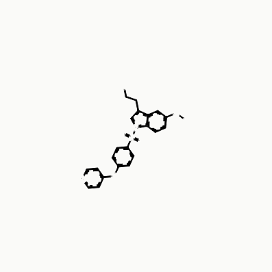 CC(C)Oc1ccc2c(c1)c(CCC(=O)O)cn2S(=O)(=O)c1ccc(Oc2ccncc2)cc1